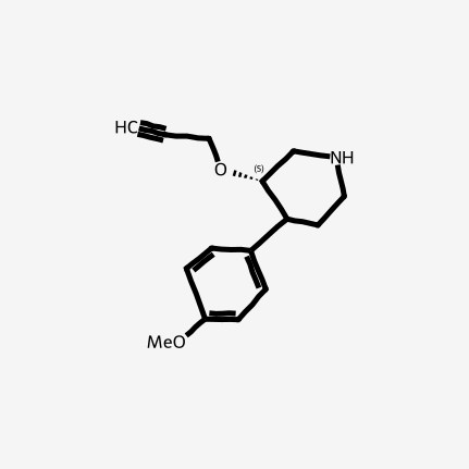 C#CCO[C@@H]1CNCCC1c1ccc(OC)cc1